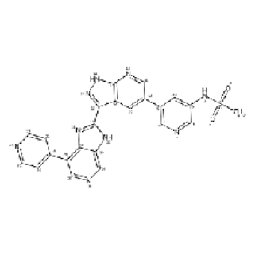 CS(=O)(=O)Nc1cncc(-c2cnc3[nH]nc(-c4nc5c(-c6ccncc6)cncc5[nH]4)c3c2)c1